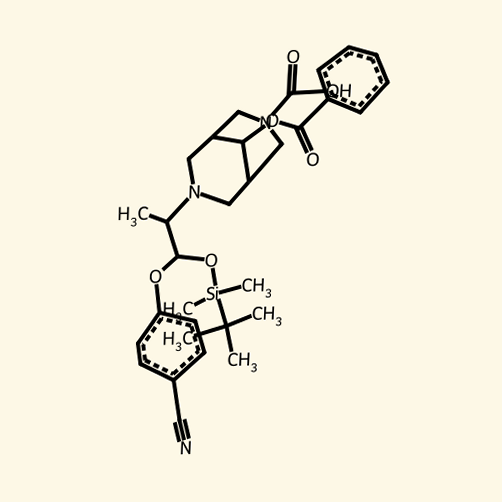 CC(C(Oc1ccc(C#N)cc1)O[Si](C)(C)C(C)(C)C)N1CC2CN(C(=O)O)CC(C1)C2OC(=O)c1ccccc1